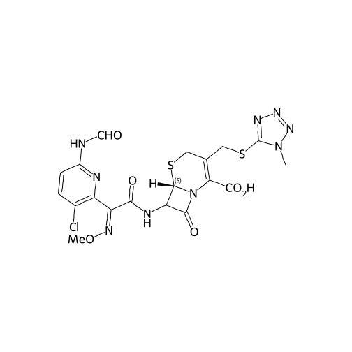 CON=C(C(=O)NC1C(=O)N2C(C(=O)O)=C(CSc3nnnn3C)CS[C@@H]12)c1nc(NC=O)ccc1Cl